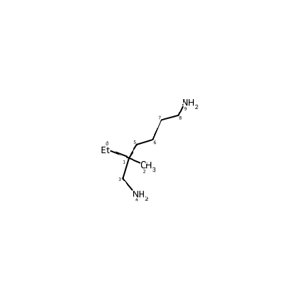 CCC(C)(CN)CCCCN